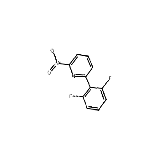 O=[N+]([O-])c1cccc(-c2c(F)cccc2F)n1